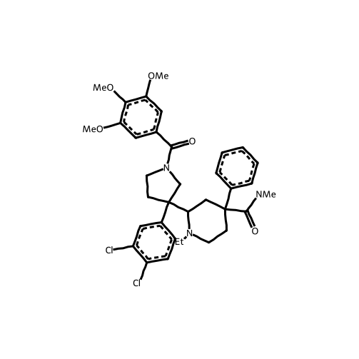 CCN1CCC(C(=O)NC)(c2ccccc2)CC1C1(c2ccc(Cl)c(Cl)c2)CCN(C(=O)c2cc(OC)c(OC)c(OC)c2)C1